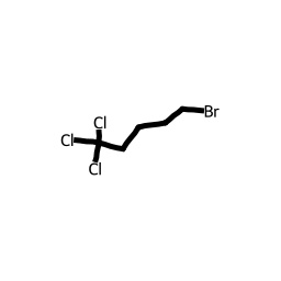 ClC(Cl)(Cl)CCCCBr